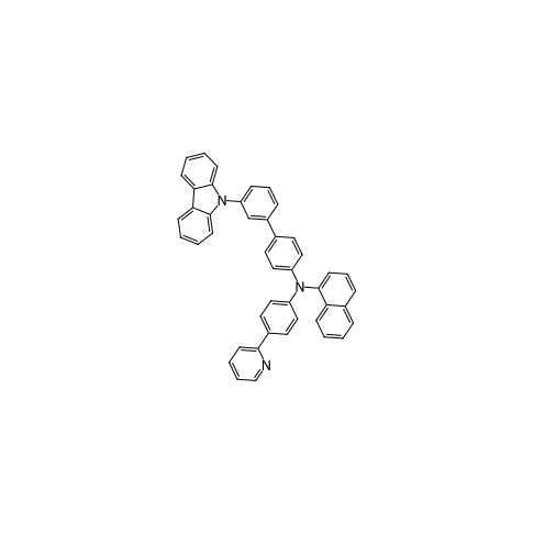 c1ccc(-c2ccc(N(c3ccc(-c4cccc(-n5c6ccccc6c6ccccc65)c4)cc3)c3cccc4ccccc34)cc2)nc1